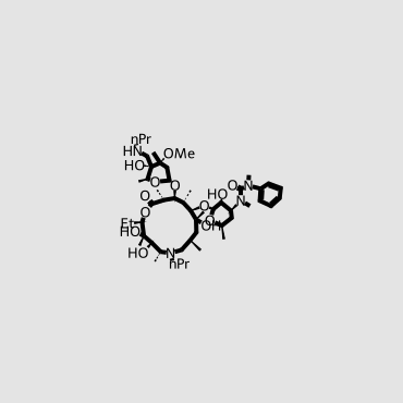 CCCNC[C@]1(O)[C@H](C)O[C@@H](O[C@H]2[C@H](C)[C@@H](O[C@@H]3O[C@H](C)C[C@H](N(C)C(=O)N(C)c4ccccc4)[C@H]3O)[C@](C)(O)C[C@@H](C)CN(CCC)[C@H](C)[C@@H](O)[C@](C)(O)[C@@H](CC)OC(=O)[C@@H]2C)C[C@@]1(C)OC